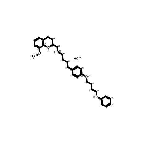 COc1cccc2c1OC(CNCCCCc1ccc(OCCCCOc3ccccc3)cc1)CC2.Cl